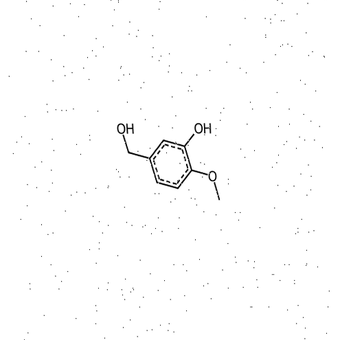 COc1ccc(CO)cc1O